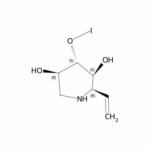 C=C[C@H]1NC[C@@H](O)[C@H](OI)[C@H]1O